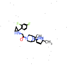 Cc1ccc(N2C3C[C@H](C)C2CN(C(=O)CNC2(c4ccc(F)cc4F)CC2)C3)nn1